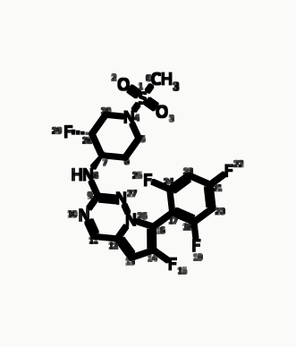 CS(=O)(=O)N1CC[C@@H](Nc2ncc3cc(F)c(-c4c(F)cc(F)cc4F)n3n2)[C@H](F)C1